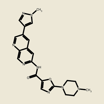 CN1CCN(c2ncc(C(=O)Nc3cc4cc(-c5cnn(C)c5)cnc4cn3)o2)CC1